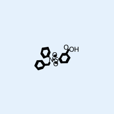 O=C(O)c1cccc(S(=O)(=O)N(Cc2ccccc2)c2ccccc2)c1